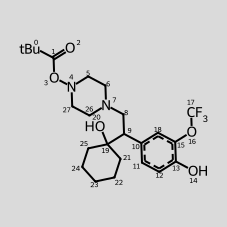 CC(C)(C)C(=O)ON1CCN(CC(c2ccc(O)c(OC(F)(F)F)c2)C2(O)CCCCC2)CC1